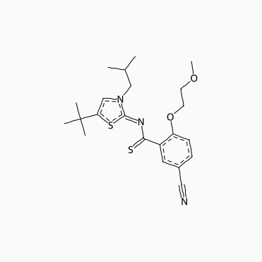 COCCOc1ccc(C#N)cc1C(=S)/N=c1\sc(C(C)(C)C)cn1CC(C)C